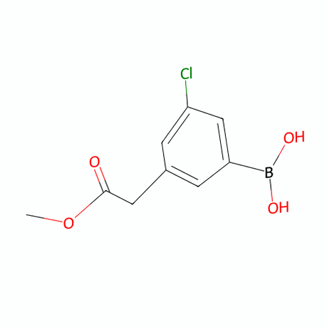 COC(=O)Cc1cc(Cl)cc(B(O)O)c1